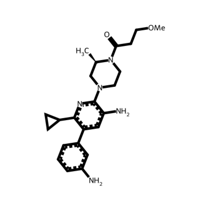 COCCC(=O)N1CCN(c2nc(C3CC3)c(-c3cccc(N)c3)cc2N)C[C@H]1C